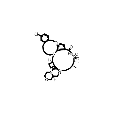 C[C@@H]1[C@@H](C)CCC[C@]2(CN3CCOC[C@H]3CO2)[C@@H]2CC[C@H]2CN2CCCCc3cc(Cl)ccc3COc3ccc(cc32)C(=O)NS1(=O)=O